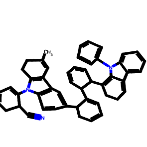 CC1=Cc2c(n(C3=CC=CCC3C#N)c3ccc(C4CC=CC=C4C4C=CC=CC4C4=c5c(c6ccccc6n5-c5ccccc5)=CCC4)cc23)CC1